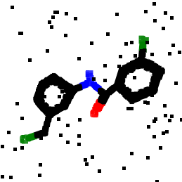 O=C(Nc1cccc(CCl)c1)c1cccc(Br)c1